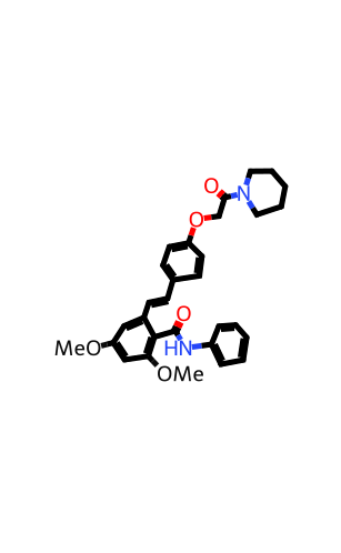 COc1cc(C=Cc2ccc(OCC(=O)N3CCCCC3)cc2)c(C(=O)Nc2ccccc2)c(OC)c1